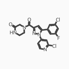 O=C1CN(C(=O)c2cc(-c3cc(F)cc(Cl)c3)n(-c3ccnc(Cl)c3)n2)CCN1